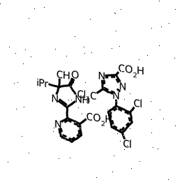 CC(C)C1(C)N=C(c2ncccc2C(=O)O)NC1=O.O=C(O)c1nc(C(Cl)(Cl)Cl)n(-c2ccc(Cl)cc2Cl)n1